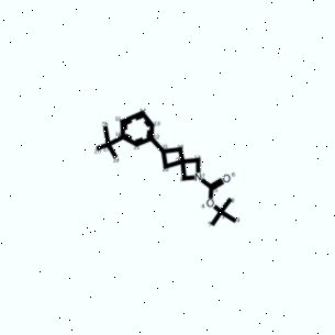 CC(C)(C)OC(=O)N1CC2(CC(c3cccc(C(C)(C)C)c3)C2)C1